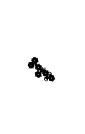 O=c1c2ccccc2oc2cc3nc(-c4ccc(-n5c6ccccc6c6ccccc65)cc4)n(-c4ccccc4)c3cc12